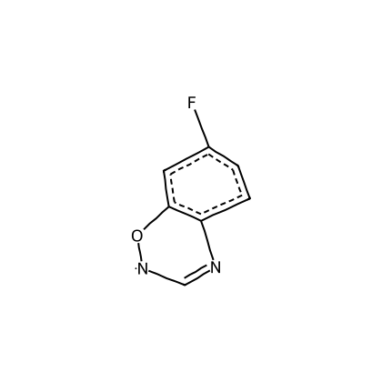 Fc1ccc2c(c1)O[N]C=N2